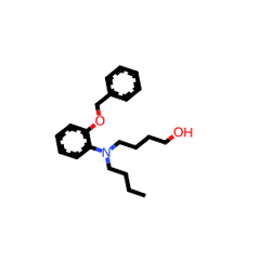 CCCCN(CCCCO)c1ccccc1OCc1ccccc1